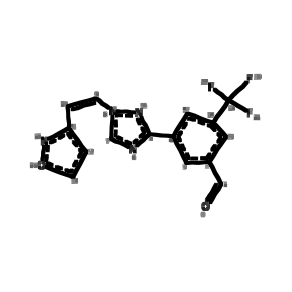 O=Cc1cc(-c2ncn(/C=C\c3ccon3)n2)cc(C(F)(F)F)c1